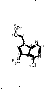 CCCOCn1cc(C(F)(F)F)c2c(Cl)ncnc21